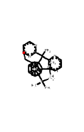 CC(C)(C)[C]12[C]3(C(P)(c4ncccn4)c4ncccn4)[C]4(CP)[CH]5[C]1([Si](C)(C)C)[Fe]54321678[CH]2[CH]1[CH]6[CH]7[CH]28